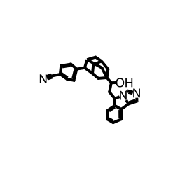 N#Cc1ccc(C2C3CC4CC2CC(C(O)CC2c5ccccc5-c5cncn52)(C4)C3)cc1